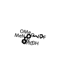 CNc1c2ccccc2nc2cc(OCCCN3CCC(F)C3)c(OC)cc12.O=CO